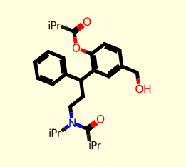 CC(C)C(=O)Oc1ccc(CO)cc1C(CCN(C(=O)C(C)C)C(C)C)c1ccccc1